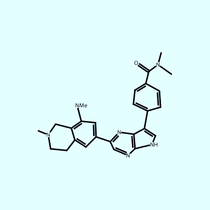 CNc1cc(-c2cnc3[nH]cc(-c4ccc(C(=O)N(C)C)cc4)c3n2)cc2c1CN(C)CC2